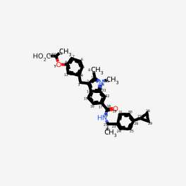 Cc1c(Cc2cccc(OC(C)C(=O)O)c2)c2ccc(C(=O)N[C@@H](C)c3ccc(C4CC4)cc3)cc2n1C